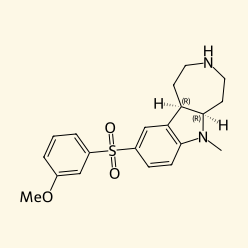 COc1cccc(S(=O)(=O)c2ccc3c(c2)[C@H]2CCNCC[C@H]2N3C)c1